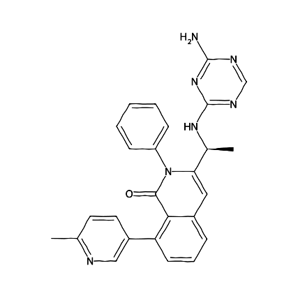 Cc1ccc(-c2cccc3cc([C@H](C)Nc4ncnc(N)n4)n(-c4ccccc4)c(=O)c23)cn1